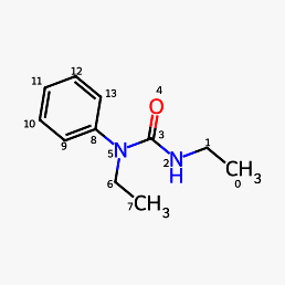 CCNC(=O)N(CC)c1ccccc1